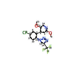 COc1cc(-c2cc(Cl)ccc2-n2cc(C(F)(F)F)nn2)c(OC)cn1